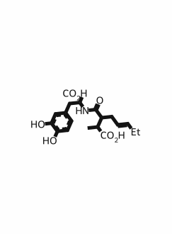 CC/C=C/CC(C(=O)NC(Cc1ccc(O)c(O)c1)C(=O)O)C(C)C(=O)O